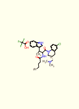 CC(C)CCCC(=O)NC(C(=O)N1C[C@@H](CN(C)C)Cc2cc(Cl)ccc21)C(C)c1c[nH]c2ccccc12.O=C(O)C(F)(F)F